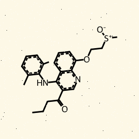 CCCC(=O)c1cnc2c(OCC[S+](C)[O-])cccc2c1Nc1c(C)cccc1C